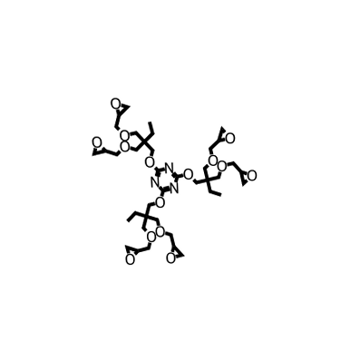 CCC(COCC1CO1)(COCC1CO1)COc1nc(OCC(CC)(COCC2CO2)COCC2CO2)nc(OCC(CC)(COCC2CO2)COCC2CO2)n1